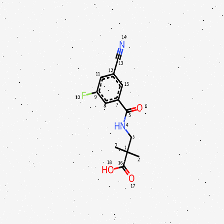 CC(C)(CNC(=O)c1cc(F)cc(C#N)c1)C(=O)O